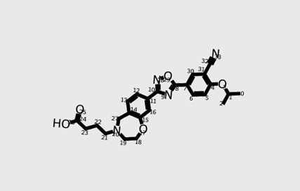 CC(C)Oc1ccc(-c2nc(-c3ccc4c(c3)OCCN(CCCC(=O)O)C4)no2)cc1C#N